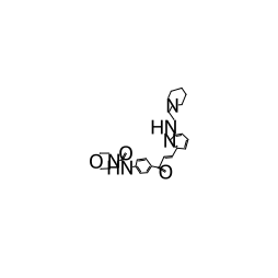 O=C(C=Cc1cccc(NCCN2CCCCC2)n1)c1ccc(NC(=O)N2CCOCC2)cc1